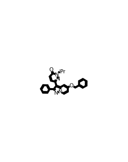 CC(C)n1nc(-c2c(-c3ccccc3)nn3ccc(OCc4ccccc4)cc23)ccc1=O